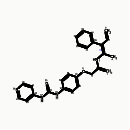 C=C/C(=C(\C)NC(=C)COc1ccc(NC(=O)Nc2ccncc2)cc1)c1ccccc1